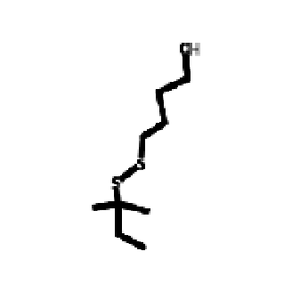 CCC(C)(C)SSCCCCO